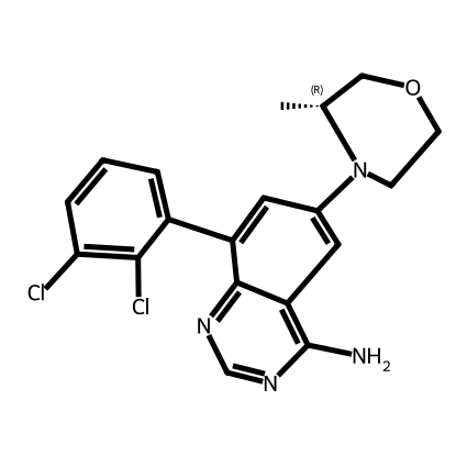 C[C@@H]1COCCN1c1cc(-c2cccc(Cl)c2Cl)c2ncnc(N)c2c1